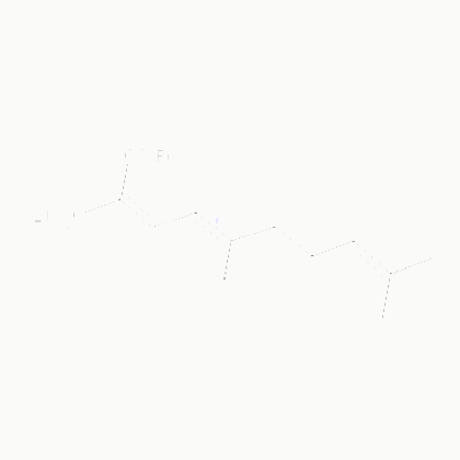 CCOC(=O)C(=C/C=C(\C)CCC=C(C)C)C(=O)OCC